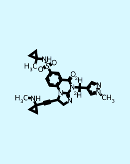 [2H]C([2H])(c1cnn(C)c1)N1C(=O)c2cc(S(=O)(=O)NC3(C)CC3)ccc2N2C1=NCC2C#CC1(NC)CC1